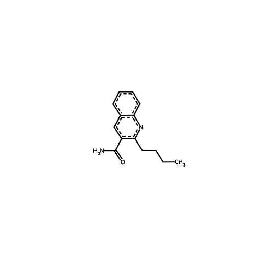 CCCCc1nc2ccccc2cc1C(N)=O